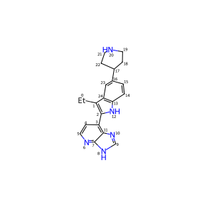 CCc1c(-c2ccnc3[nH]cnc23)[nH]c2ccc(C3CCNCC3)cc12